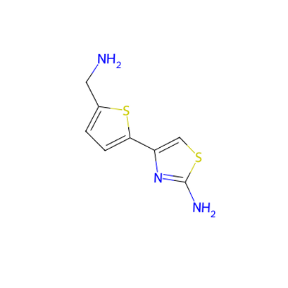 NCc1ccc(-c2csc(N)n2)s1